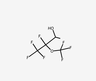 CC(O)C(F)(OC(F)(F)F)C(F)(F)F